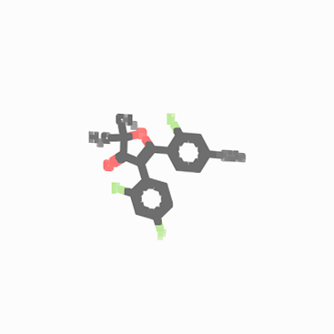 CSc1ccc(C2=C(c3ccc(F)cc3F)C(=O)C(C)(C)O2)c(F)c1